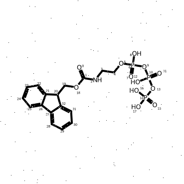 O=C(NCCOP(=O)(O)OP(=O)(O)OP(=O)(O)O)OCC1c2ccccc2-c2ccccc21